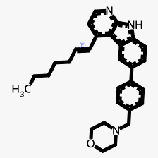 CCCCC/C=C/c1ccnc2[nH]c3ccc(-c4ccc(CN5CCOCC5)cc4)cc3c12